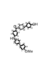 COc1ccc(-c2cnc(Nc3ccc(C(=O)N4CCN(c5ccc(O)cc5)CC4)cc3)nc2)cc1